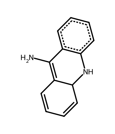 NC1=C2C=CC=CC2Nc2ccccc21